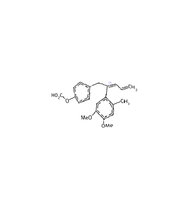 C=C/C=C(/Cc1ccc(OC(=O)O)cc1)c1cc(OC)c(OC)cc1C